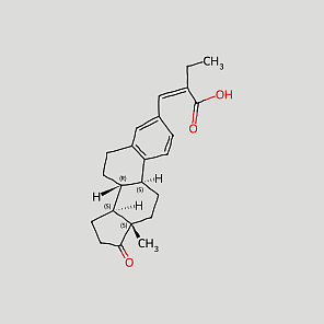 CCC(=Cc1ccc2c(c1)CC[C@@H]1[C@@H]2CC[C@]2(C)C(=O)CC[C@@H]12)C(=O)O